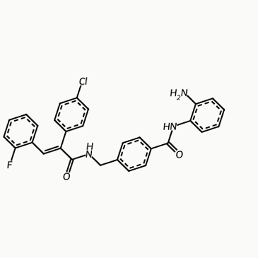 Nc1ccccc1NC(=O)c1ccc(CNC(=O)/C(=C/c2ccccc2F)c2ccc(Cl)cc2)cc1